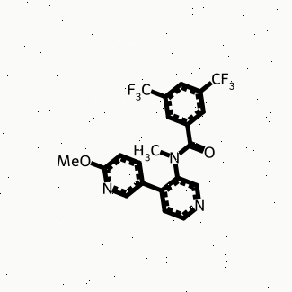 COc1ccc(-c2ccncc2N(C)C(=O)c2cc(C(F)(F)F)cc(C(F)(F)F)c2)cn1